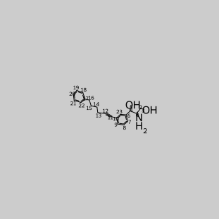 NC(CO)C(O)c1cccc(C#CCCCCc2ccccc2)c1